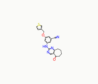 N#Cc1cc(Nc2ncc3c(n2)CCCCC3=O)cc(OCc2ccsc2)c1